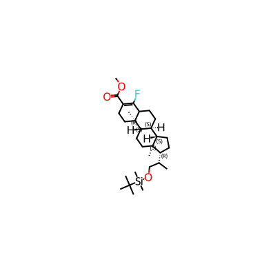 COC(=O)C1=C(F)C2CC[C@H]3[C@@H]4CC[C@H](C(C)CO[Si](C)(C)C(C)(C)C)[C@@]4(C)CC[C@@H]3[C@@]2(C)CC1